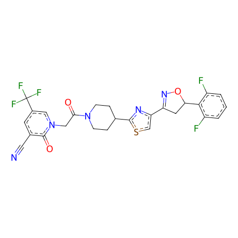 N#Cc1cc(C(F)(F)F)cn(CC(=O)N2CCC(c3nc(C4=NOC(c5c(F)cccc5F)C4)cs3)CC2)c1=O